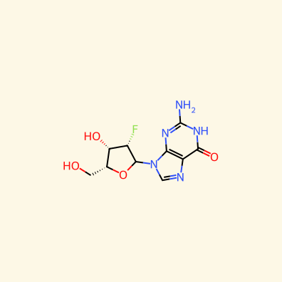 Nc1nc2c(ncn2C2O[C@H](CO)[C@H](O)[C@@H]2F)c(=O)[nH]1